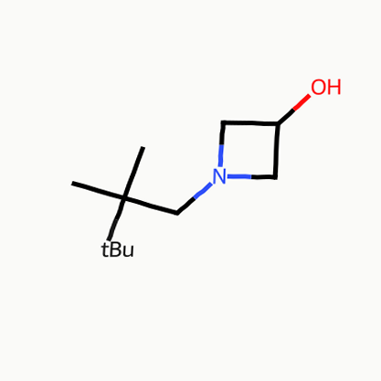 CC(C)(C)C(C)(C)CN1CC(O)C1